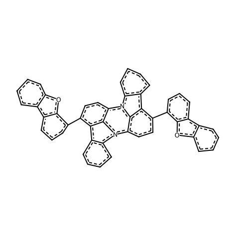 c1ccc2c(c1)oc1c(-c3ccc4c5c3c3ccccc3n5c3ccc(-c5cccc6c5oc5ccccc56)c5c6ccccc6n4c53)cccc12